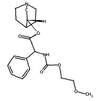 COCCOC(=O)NC(C(=O)O[C@H]1CN2CCC1CC2)c1ccccc1